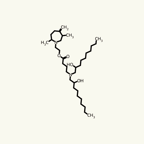 C=C1CCC(C)N(CCOC(=O)CCCN(CC(O)CCCCCCCC)CC(O)CCCCCCCC)CC1C